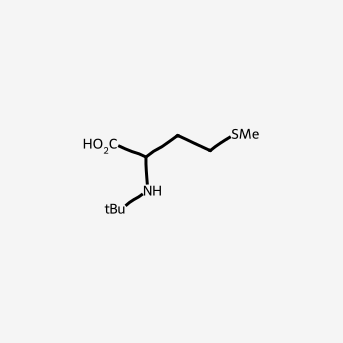 CSCCC(NC(C)(C)C)C(=O)O